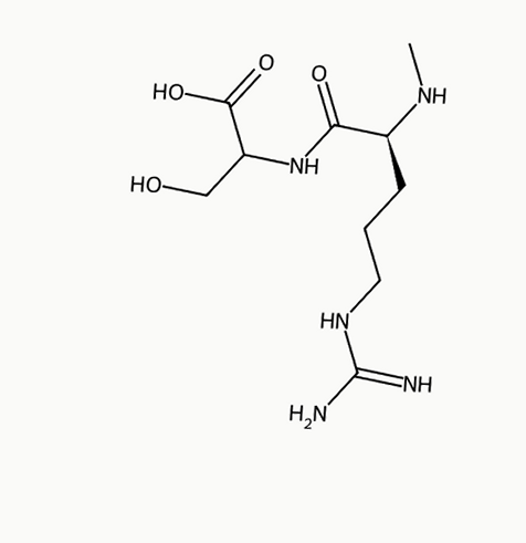 CN[C@@H](CCCNC(=N)N)C(=O)NC(CO)C(=O)O